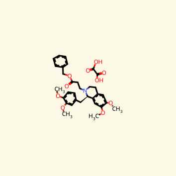 COc1ccc(C[C@@H]2c3cc(OC)c(OC)cc3CCN2CCC(=O)OCc2ccccc2)cc1OC.O=C(O)C(=O)O